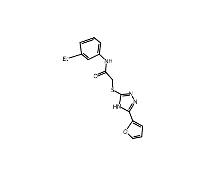 CCc1cccc(NC(=O)CSc2nnc(-c3ccco3)[nH]2)c1